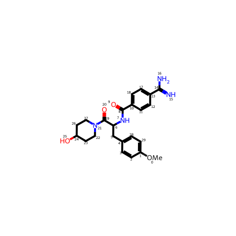 COc1ccc(CC(NC(=O)c2ccc(C(=N)N)cc2)C(=O)N2CCC(O)CC2)cc1